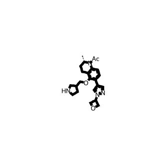 CC(=O)N1c2ccc(-c3cnn(C4COC4)c3)c(OCC3CCNC3)c2CC[C@@H]1C